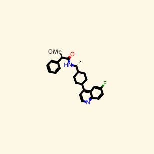 CO[C@@H](C(=O)N[C@H](C)C1CCC(c2ccnc3ccc(F)cc23)CC1)c1ccccc1